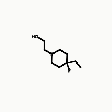 CCC1(F)CCN(CCO)CC1